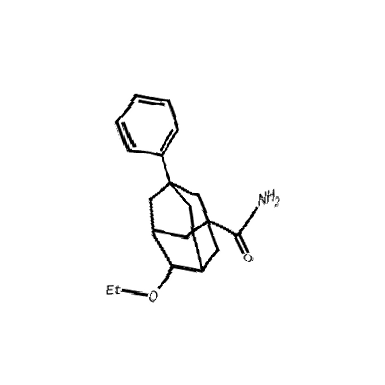 CCOC1C2CC3(C(N)=O)CC1CC(c1ccccc1)(C2)C3